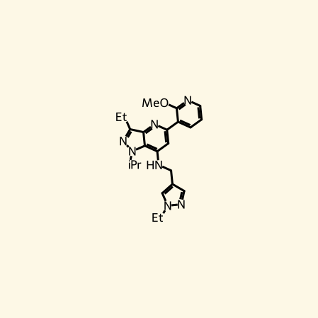 CCc1nn(C(C)C)c2c(NCc3cnn(CC)c3)cc(-c3cccnc3OC)nc12